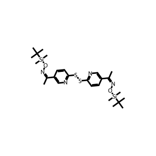 C/C(=N/O[Si](C)(C)C(C)(C)C)c1ccc(SSc2ccc(/C(C)=N\O[Si](C)(C)C(C)(C)C)cn2)nc1